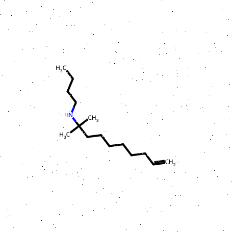 C=CCCCCCCC(C)(C)NCCCC